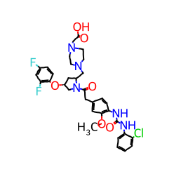 COc1cc(CC(=O)N2C[C@@H](Oc3ccc(F)cc3F)CC2CN2CCN(CC(=O)O)CC2)ccc1NC(=O)Nc1ccccc1Cl